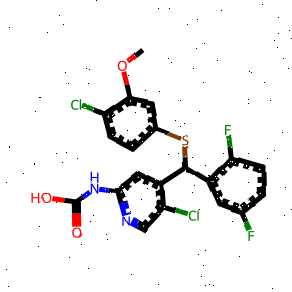 COc1cc(SC(c2cc(F)ccc2F)c2cc(NC(=O)O)ncc2Cl)ccc1Cl